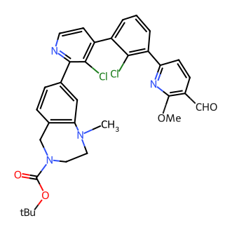 COc1nc(-c2cccc(-c3ccnc(-c4ccc5c(c4)N(C)CCN(C(=O)OC(C)(C)C)C5)c3Cl)c2Cl)ccc1C=O